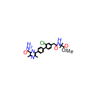 COC(=O)C(C)(C)NC(=O)Cc1ccc(-c2ccc(-c3nc(C(N)=O)c(C)nc3C)cc2)c(Cl)c1